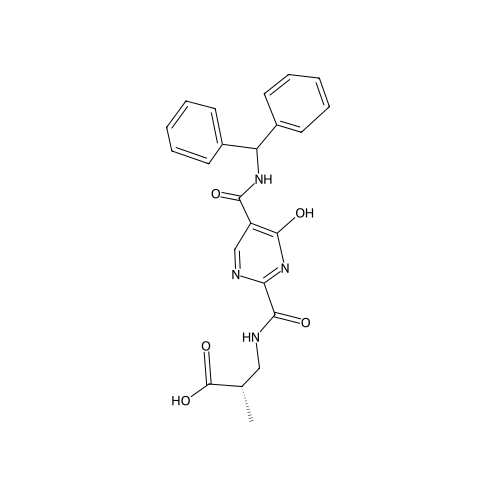 C[C@@H](CNC(=O)c1ncc(C(=O)NC(c2ccccc2)c2ccccc2)c(O)n1)C(=O)O